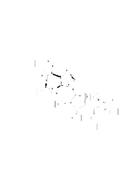 Nc1nc(F)nc2c1ncn2[C@@H]1O[C@H](C(O)P(=O)(O)O)[C@@H](O)[C@@H]1O